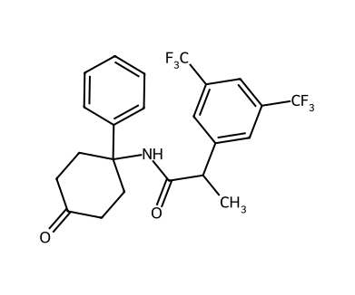 CC(C(=O)NC1(c2ccccc2)CCC(=O)CC1)c1cc(C(F)(F)F)cc(C(F)(F)F)c1